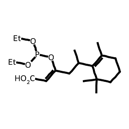 CCOP(OCC)OC(=CC(=O)O)CC(C)C1=C(C)CCCC1(C)C